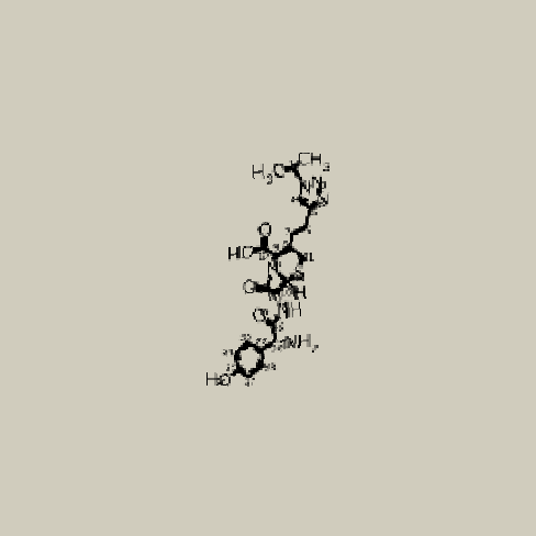 CC(C)n1cc(CCC2=C(C(=O)O)N3C(=O)[C@@H](NC(=O)[C@H](N)c4ccc(O)cc4)[C@H]3SC2)nn1